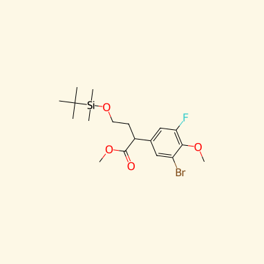 COC(=O)C(CCO[Si](C)(C)C(C)(C)C)c1cc(F)c(OC)c(Br)c1